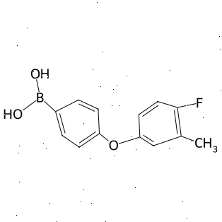 Cc1cc(Oc2ccc(B(O)O)cc2)ccc1F